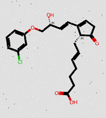 O=C(O)CCCC=CC[C@H]1C(=O)CC=C1C=C[C@@H](O)COc1cccc(Cl)c1